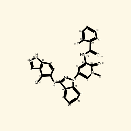 Cn1cc(-n2nc(Nc3ccc4[nH]ncc4c3Cl)c3ccccc32)cc(NC(=O)c2ccccc2F)c1=O